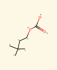 CC(C)(C)CCOC([O])=O